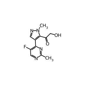 Cc1ncc(F)c(-c2cnn(C)c2C(=O)CO)n1